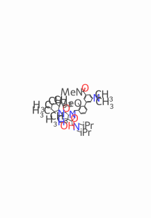 CNC(=O)c1cc(-c2cccc(CN3O[C@@H](CN(CC(C)C)CC(C)C)[C@@H]([C@H](C)O)[C@H]3C(=O)N[C@H]3C[C@@H](C)C(C)(C)[C@@H](C)[C@@H]3C)c2OC)cc(N(C)C)c1